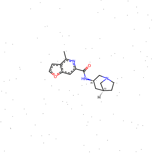 Cc1nc(C(=O)N[C@@H]2C[C@@H]3CCN(C3)C2)cc2occc12